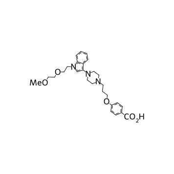 COCCOCCn1cc(N2CCN(CCCOc3ccc(C(=O)O)cc3)CC2)c2ccccc21